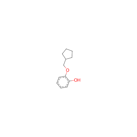 Oc1ccccc1OCC1CCCC1